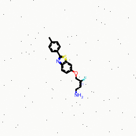 Cc1ccc(-c2nc3ccc(OC/C(F)=C\CN)cc3s2)cc1